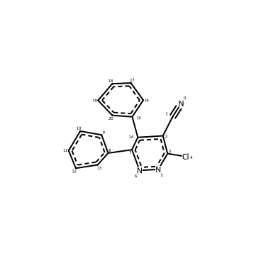 N#Cc1c(Cl)nnc(-c2ccccc2)c1-c1ccccc1